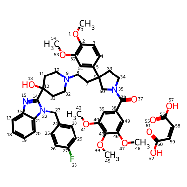 COc1ccc(C2(CCN3CCC(O)(c4nc5ccccc5n4Cc4ccc(F)cc4)CC3)CCN(C(=O)c3cc(OC)c(OC)c(OC)c3)C2)cc1OC.O=C(O)/C=C\C(=O)O